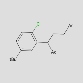 CC(=O)CCC(C(C)=O)c1cc(C(C)(C)C)ccc1Cl